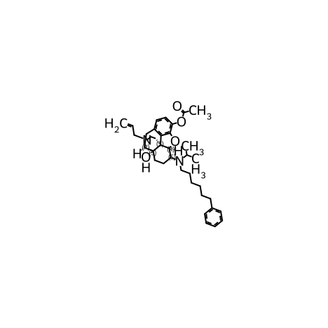 C=CCN1CC[C@]23c4c5ccc(OC(C)=O)c4O[C@H]2[C@@H](N(CCCCCCc2ccccc2)C(C)C)CC[C@@]3(O)[C@H]1C5